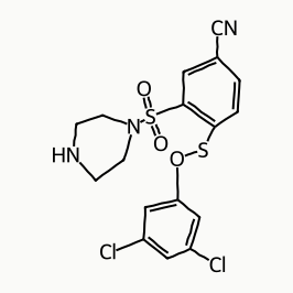 N#Cc1ccc(SOc2cc(Cl)cc(Cl)c2)c(S(=O)(=O)N2CCNCC2)c1